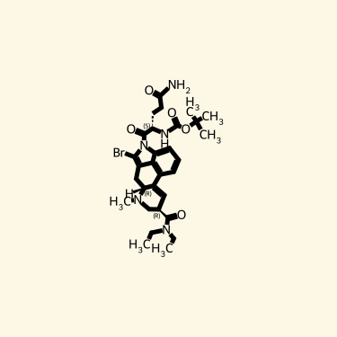 CCN(CC)C(=O)[C@@H]1C=C2c3cccc4c3c(c(Br)n4C(=O)[C@H](CCC(N)=O)NC(=O)OC(C)(C)C)C[C@H]2N(C)C1